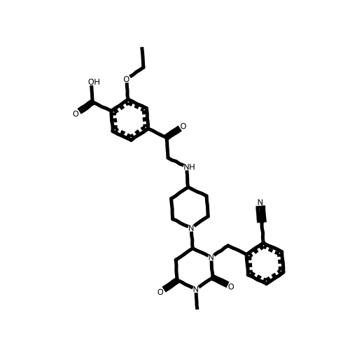 CCOc1cc(C(=O)CNC2CCN(C3CC(=O)N(C)C(=O)N3Cc3ccccc3C#N)CC2)ccc1C(=O)O